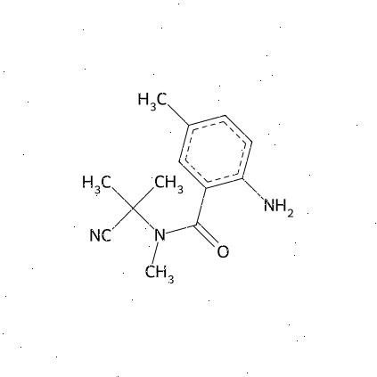 Cc1ccc(N)c(C(=O)N(C)C(C)(C)C#N)c1